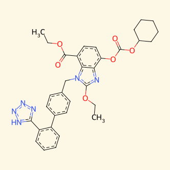 CCOC(=O)c1ccc(OC(=O)OC2CCCCC2)c2nc(OCC)n(Cc3ccc(-c4ccccc4-c4nnn[nH]4)cc3)c12